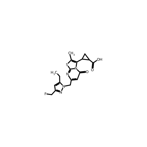 CCc1cc(CF)nn1Cc1cc(=O)n2c(C3CC3C(=O)O)c(C)sc2n1